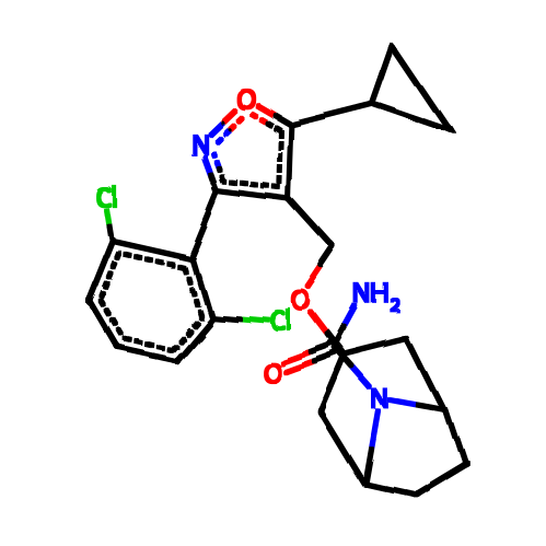 NC(=O)N1C2CCC1CC(OCc1c(-c3c(Cl)cccc3Cl)noc1C1CC1)C2